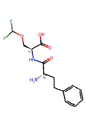 N[C@@H](CCc1ccccc1)C(=O)N[C@@H](COC(F)F)C(=O)O